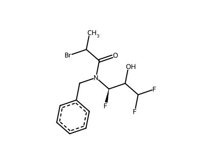 CC(Br)C(=O)N(Cc1ccccc1)[C@H](F)C(O)C(F)F